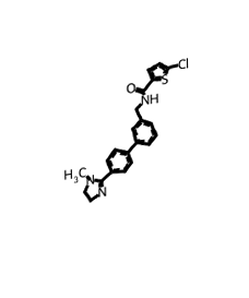 CN1CCN=C1c1ccc(-c2cccc(CNC(=O)c3ccc(Cl)s3)c2)cc1